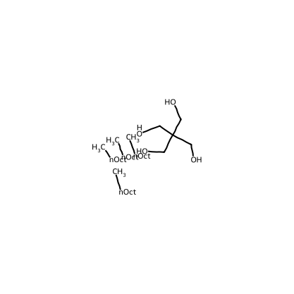 CCCCCCCCC.CCCCCCCCC.CCCCCCCCC.CCCCCCCCC.OCC(CO)(CO)CO